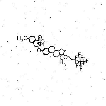 Cc1ccc(S(=O)(=O)S)c(CCOc2ccc3c(c2)CCC2C3CC[C@@]3(C)C2CC[C@@H]3OCCCOC(C(F)(F)F)(C(F)(F)F)C(F)(F)F)c1